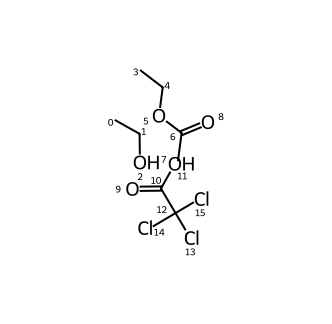 CCO.CCOC(C)=O.O=C(O)C(Cl)(Cl)Cl